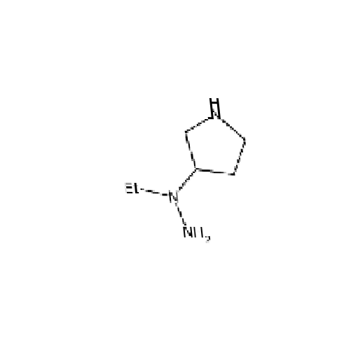 CCN(N)C1CCNC1